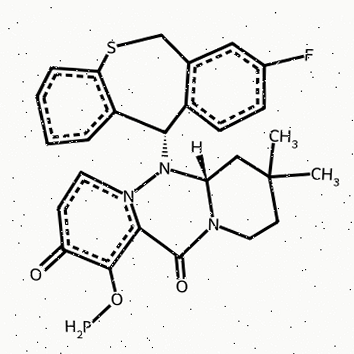 CC1(C)CCN2C(=O)c3c(OP)c(=O)ccn3N([C@H]3c4ccc(F)cc4CSc4ccccc43)[C@@H]2C1